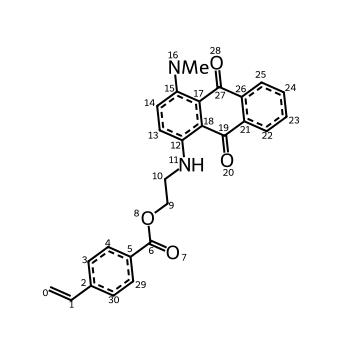 C=Cc1ccc(C(=O)OCCNc2ccc(NC)c3c2C(=O)c2ccccc2C3=O)cc1